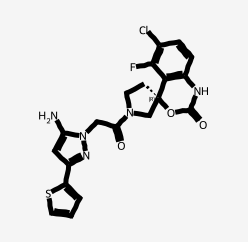 Nc1cc(-c2cccs2)nn1CC(=O)N1CC[C@@]2(C1)OC(=O)Nc1ccc(Cl)c(F)c12